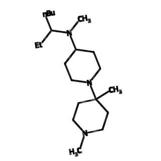 CCCCC(CC)N(C)C1CCN(C2(C)CCN(C)CC2)CC1